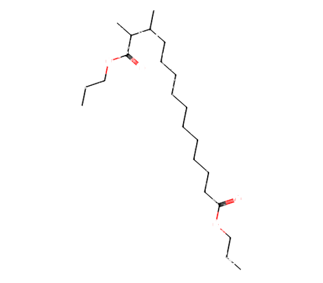 CCCOC(=O)CCCCCCCCCCC(C)C(C)C(=O)OCCC